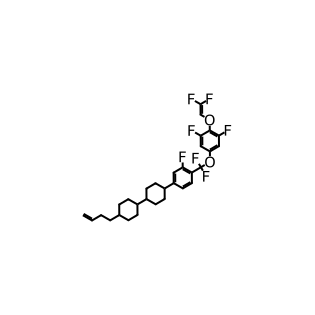 C=CCCC1CCC(C2CCC(c3ccc(C(F)(F)Oc4cc(F)c(OC=C(F)F)c(F)c4)c(F)c3)CC2)CC1